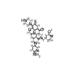 COc1cc(CN(Cc2cn3c4c(c(N5CCNCC5)c(F)cc4c2=O)OCC3C)[C@H]2CCCN(c3ccc(N)nc3)C2)ccn1